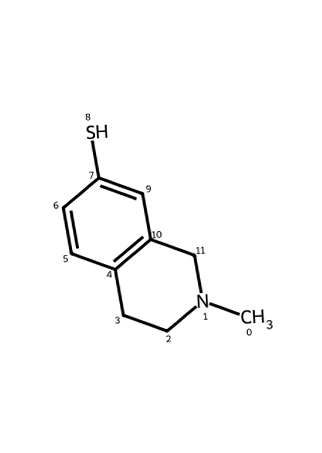 CN1CCc2ccc(S)cc2C1